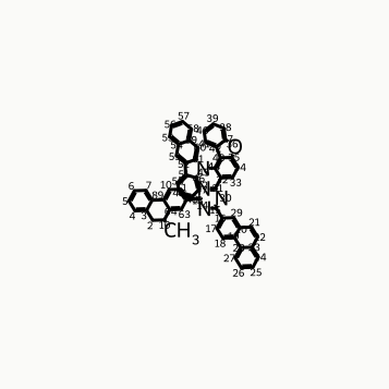 CC1Cc2ccccc2-c2ccc(-c3nc(-c4ccc5c(ccc6ccccc65)c4)nc(-c4ccc5oc6ccccc6c5c4-n4c5ccccc5c5cc6ccccc6cc54)n3)cc21